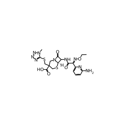 CCON=C(C(=O)NC1C(=O)N2CC(CSc3nnnn3C)(C(=O)O)CS[C@H]12)c1cccc(N)n1